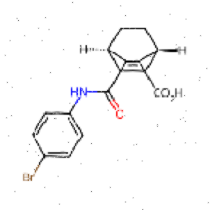 O=C(O)C1=C(C(=O)Nc2ccc(Br)cc2)[C@H]2CC[C@H]1CC2